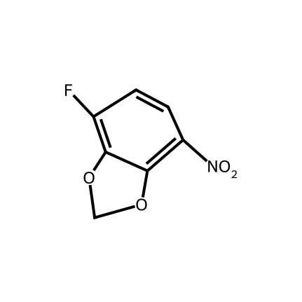 O=[N+]([O-])c1ccc(F)c2c1OCO2